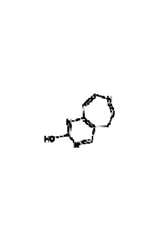 Oc1ncc2c(n1)C=CN=CC2